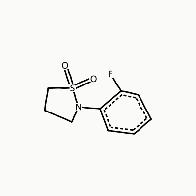 O=S1(=O)CCCN1c1ccccc1F